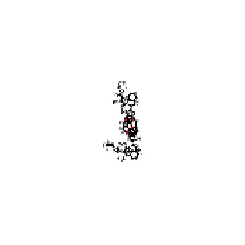 CC(C)[C@H](NC(=O)OCC(F)(F)F)C(=O)N1[C@H](c2nc3cc(-c4cc5ccc4CCc4ccc(c(-c6ccc7[nH]c([C@@H]8C[C@@H]9CCCC%10C(C)[C@H](NC(=O)OCC(F)(F)I)C(=O)N8[C@@H]%109)nc7c6)c4)CC5)ccc3[nH]2)C[C@@H]2CCCC[C@@H]21